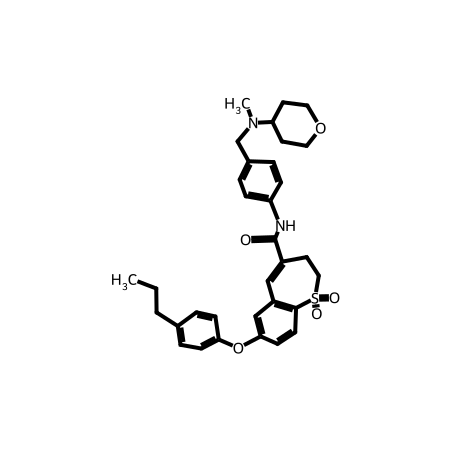 CCCc1ccc(Oc2ccc3c(c2)C=C(C(=O)Nc2ccc(CN(C)C4CCOCC4)cc2)CCS3(=O)=O)cc1